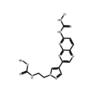 CCNC(=S)Nc1ccc2ncc(-c3cnn(CCNC(=O)OC(C)(C)C)c3)nc2n1